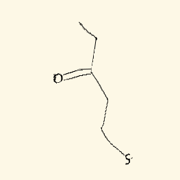 CCC(=O)CC[S]